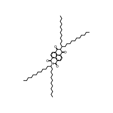 CCCCCCCCCCCC(CCCCCCCCCCC)C1C(=O)c2ccc3c4c(ccc(c24)C1=O)C(=O)N(C(CCCCCCCCCCC)CCCCCCCCCCC)C3=O